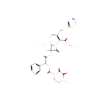 CN1CCN(C(=O)NC(C(=O)N[C@]2(NO)C(=O)N3C(C(=O)OC(C)(C)C)=C(CSc4cnns4)CS[C@@H]32)c2ccccc2)C(=O)C1=O